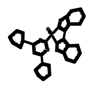 O=P1(c2nc(-c3ccccc3)cc(-c3ccccc3)n2)c2sc3ccccc3c2-c2c1sc1ccccc21